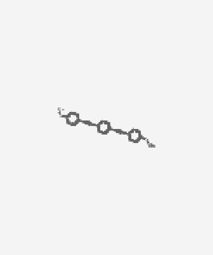 CC(C)(C)Sc1ccc(C#Cc2ccc(C#Cc3ccc(SC(C)(C)C)cc3)cc2)cc1